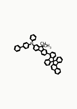 CC1(C)c2cc(-c3cccc4c3-c3ccccc3C43c4ccccc4-c4c3ccc3ccccc43)ccc2-c2ccc(N(c3ccccc3)c3ccc(-c4ccccc4)cc3)cc21